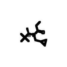 CCC(=O)N(CC1CC1)[C@H](C)C(C)(C)C